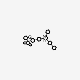 c1ccc(-c2ccc(-c3cc(-c4ccccc4)nc(-c4ccc(-c5ccc6c(c5)Oc5ccccc5C65c6ccccc6-c6ccccc65)cc4)n3)cc2)cc1